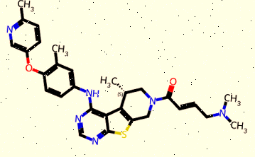 Cc1ccc(Oc2ccc(Nc3ncnc4sc5c(c34)[C@H](C)CN(C(=O)C=CCN(C)C)C5)cc2C)cn1